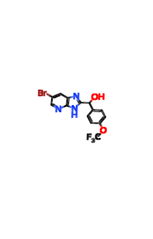 OC(c1ccc(OC(F)(F)F)cc1)c1nc2cc(Br)cnc2[nH]1